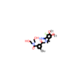 CCOc1cc2c(c(F)c1OCC)C(=N)N(CC(=O)c1cc(C(=O)N(CCO)CCO)cc(C(C)(C)C)c1)C2(C)C